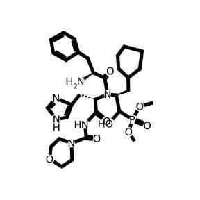 COP(=O)(OC)C(O)[C@H](CC1CCCCC1)N(C(=O)[C@@H](N)Cc1ccccc1)[C@@H](Cc1c[nH]cn1)C(=O)NC(=O)N1CCOCC1